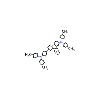 Cc1ccc(N(c2ccc(C)cc2)c2ccc(-c3ccc4c(c3)C3(CC5CCC(C5)C3)c3cc(N(c5ccc(C)cc5)c5ccc(C)cc5)ccc3-4)cc2)cc1